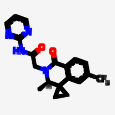 C[C@H]1N(CC(=O)Nc2ncccn2)C(=O)c2ccc(C(F)(F)F)cc2C12CC2